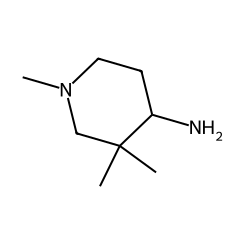 CN1CCC(N)C(C)(C)C1